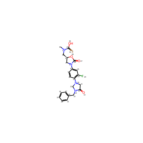 CN(C[C@@H]1CN(c2ccc(N3CC(=O)N(Cc4ccccc4)C3)c(F)c2)C(=O)O1)C(O)=S